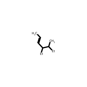 C/C=C/C(CC)C(C)CC